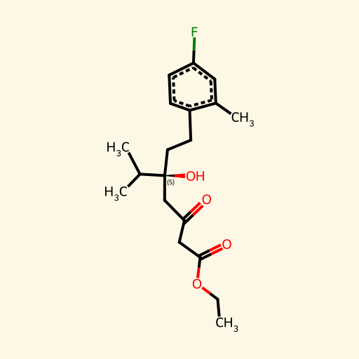 CCOC(=O)CC(=O)C[C@@](O)(CCc1ccc(F)cc1C)C(C)C